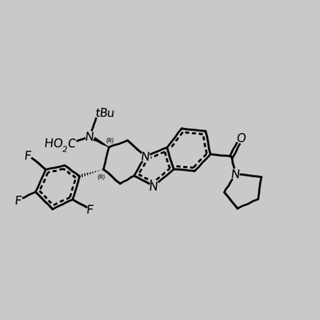 CC(C)(C)N(C(=O)O)[C@H]1Cn2c(nc3cc(C(=O)N4CCCC4)ccc32)C[C@@H]1c1cc(F)c(F)cc1F